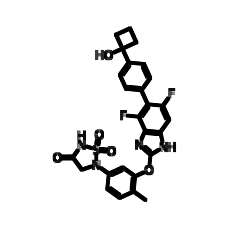 Cc1ccc(N2CC(=O)NS2(=O)=O)cc1Oc1nc2c(F)c(-c3ccc(C4(O)CCC4)cc3)c(F)cc2[nH]1